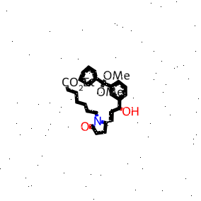 CCOC(=O)CCCCCCN1C(=O)CC[C@@H]1C=CC(O)c1cccc(C(OC)(OC)c2ccccc2)c1